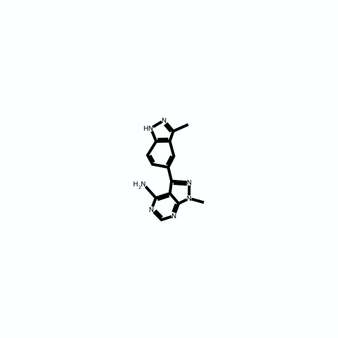 Cc1n[nH]c2ccc(-c3nn(C)c4ncnc(N)c34)cc12